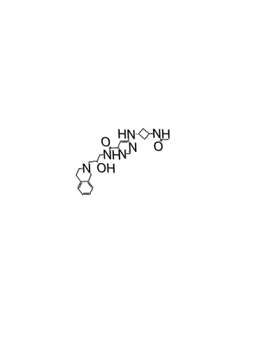 CC(=O)N[C@H]1C[C@H](Nc2cc(C(=O)NC[C@H](O)CN3CCc4ccccc4C3)ncn2)C1